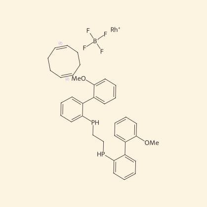 C1=C\CC/C=C\CC/1.COc1ccccc1-c1ccccc1PCCPc1ccccc1-c1ccccc1OC.F[B-](F)(F)F.[Rh+]